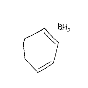 B.C1=CCCC=C1